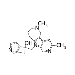 Cc1cc2c3c(n(CC4(O)Cc5cnccc54)c2cn1)CCCN(C)C3